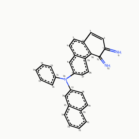 N=C1C=Cc2ccc3cc(N(c4ccccc4)c4ccc5ccccc5c4)ccc3c2C1=N